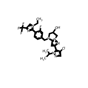 CCn1cc(C(F)(F)F)nc1-c1ccc(CN2CC(O)Cn3nc(-c4c(Cl)cnn4C(C)C)cc32)cc1F